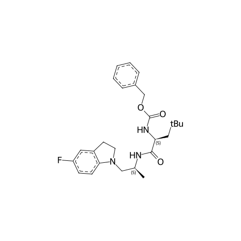 C[C@@H](CN1CCc2cc(F)ccc21)NC(=O)[C@H](CC(C)(C)C)NC(=O)OCc1ccccc1